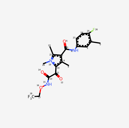 Cc1cc(NC(=O)c2c(C)c(C(=O)C(=O)NOCC(F)(F)F)n(C)c2C)ccc1F